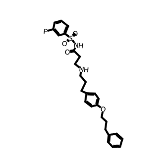 O=C(CCNCCCc1ccc(OCCCc2ccccc2)cc1)NS(=O)(=O)c1cccc(F)c1